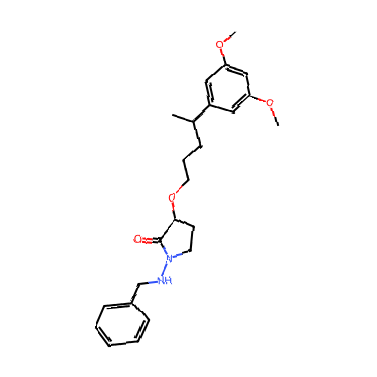 COc1cc(OC)cc(C(C)CCCOC2CCN(NCc3ccccc3)C2=O)c1